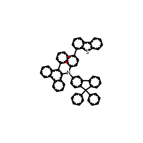 c1ccc(-c2c(N(c3ccc(-c4cccc5c4sc4ccccc45)cc3)c3ccc4c(c3)-c3ccccc3C4(c3ccccc3)c3ccccc3)c3ccccc3c3ccccc23)cc1